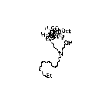 CC/C=C\C/C=C\C/C=C\C/C=C\C/C=C\CCCCN(CCCCO)CCCCCC(OCCCCCCCC)O[Si](C)(C)O[Si](C)(C)OCCCCCCCC